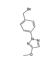 COc1cnn(-c2ccc(CBr)cc2)n1